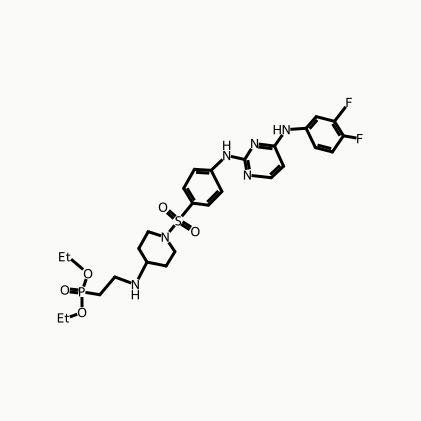 CCOP(=O)(CCNC1CCN(S(=O)(=O)c2ccc(Nc3nccc(Nc4ccc(F)c(F)c4)n3)cc2)CC1)OCC